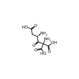 N[C@H](CC(=O)O)C(=O)C(N)(C(=O)O)C(=O)O